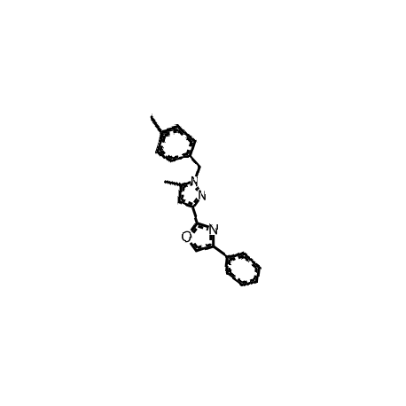 Cc1ccc(Cn2nc(-c3nc(-c4ccccc4)co3)cc2C)cc1